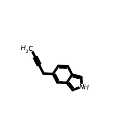 CC#CCc1ccc2c[nH]cc2c1